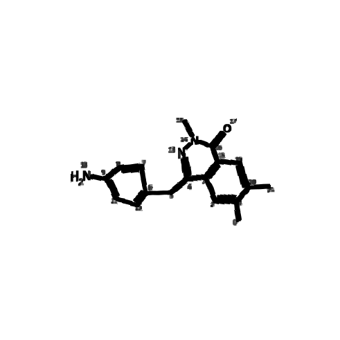 Cc1cc2c(Cc3ccc(N)cc3)nn(C)c(=O)c2cc1C